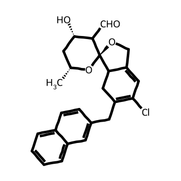 C[C@@H]1C[C@H](O)C(C=O)[C@@]2(OCC3=CC(Cl)=C(Cc4ccc5ccccc5c4)CC32)O1